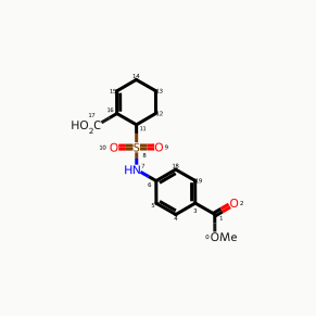 COC(=O)c1ccc(NS(=O)(=O)C2CCCC=C2C(=O)O)cc1